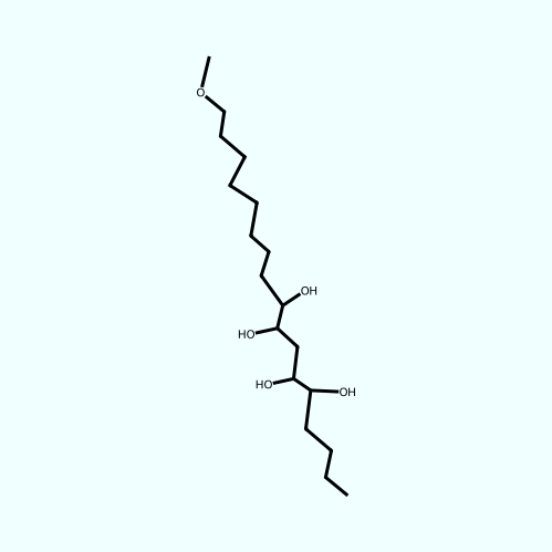 CCCCC(O)C(O)CC(O)C(O)CCCCCCCCOC